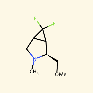 COC[C@@H]1C2C(CN1C)C2(F)F